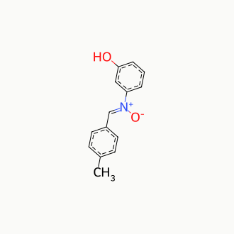 Cc1ccc(C=[N+]([O-])c2cccc(O)c2)cc1